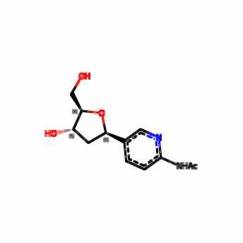 CC(=O)Nc1ccc([C@H]2C[C@H](O)[C@@H](CO)O2)cn1